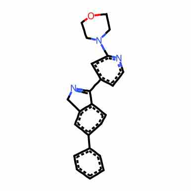 c1ccc(-c2ccc3c(c2)CN=C3c2ccnc(N3CCOCC3)c2)cc1